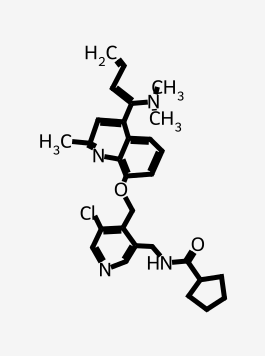 C=C/C=C(/c1cc(C)nc2c(OCc3c(Cl)cncc3CNC(=O)C3CCCC3)cccc12)N(C)C